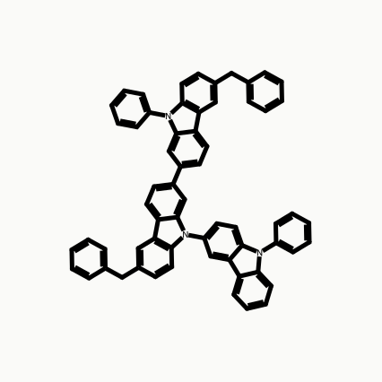 c1ccc(Cc2ccc3c(c2)c2ccc(-c4ccc5c6cc(Cc7ccccc7)ccc6n(-c6ccc7c(c6)c6ccccc6n7-c6ccccc6)c5c4)cc2n3-c2ccccc2)cc1